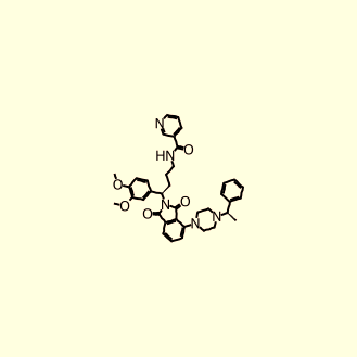 COc1ccc([C@@H](CCCNC(=O)c2cccnc2)N2C(=O)c3cccc(N4CCN([C@H](C)c5ccccc5)CC4)c3C2=O)cc1OC